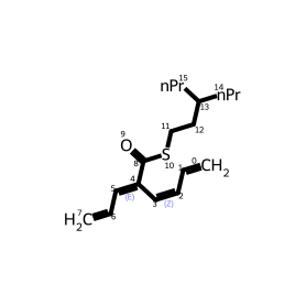 C=C/C=C\C(=C/C=C)C(=O)SCCC(CCC)CCC